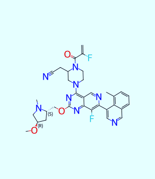 C=C(F)C(=O)N1CCN(c2nc(OC[C@@H]3C[C@@H](OC)CN3C)nc3c(F)c(-c4cncc5cccc(C)c45)ncc23)CC1CC#N